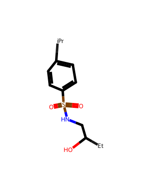 CCC(O)CNS(=O)(=O)c1ccc(C(C)C)cc1